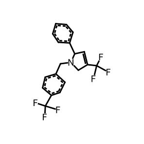 FC(F)(F)C1=CC(c2ccccc2)N(Cc2ccc(C(F)(F)F)cc2)C1